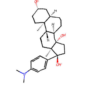 CN(C)c1ccc([C@@]2(O)CC[C@]3(O)[C@@H]4CC[C@@H]5C[C@@H](O)CC[C@]5(C)[C@H]4CC[C@]23C)cc1